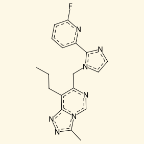 CCCc1c(Cn2ccnc2-c2cccc(F)n2)ncn2c(C)nnc12